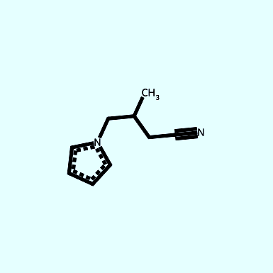 CC(CC#N)Cn1cccc1